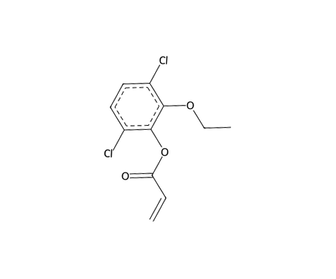 C=CC(=O)Oc1c(Cl)ccc(Cl)c1OCC